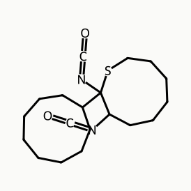 O=C=NC1CCCCCCSC1(N=C=O)C1CCCCCCCC1